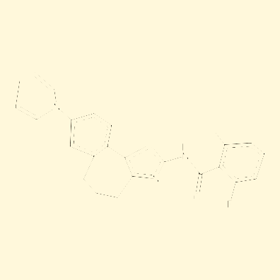 C=CN(/C=C\C)c1ccc2c(c1)CCCc1nc(NC(=O)c3c(F)cccc3F)sc1-2